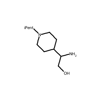 CCCC(C)N1CCC(C(N)CO)CC1